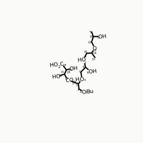 CC(C)COCC(C)OCC(C)O.CC(O)COC(C)CO.O=C(O)C(O)C(O)C(=O)O